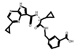 O=C(O)c1cccc(CNC(=O)[C@H](NC(=O)c2c[nH]c3ncc(C4CC4)nc23)C2CC2)c1